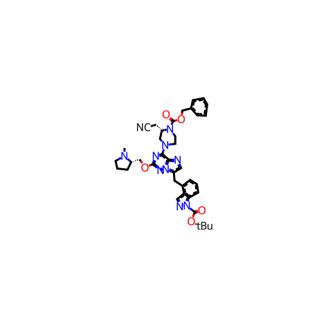 CN1CCC[C@H]1COc1nc(N2CCN(C(=O)OCc3ccccc3)[C@@H](CC#N)C2)c2ncc(Cc3cccc4c3cnn4C(=O)OC(C)(C)C)n2n1